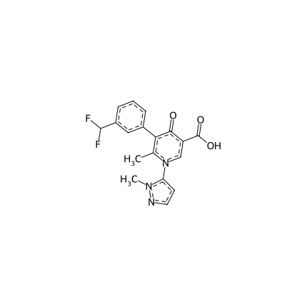 Cc1c(-c2cccc(C(F)F)c2)c(=O)c(C(=O)O)cn1-c1ccnn1C